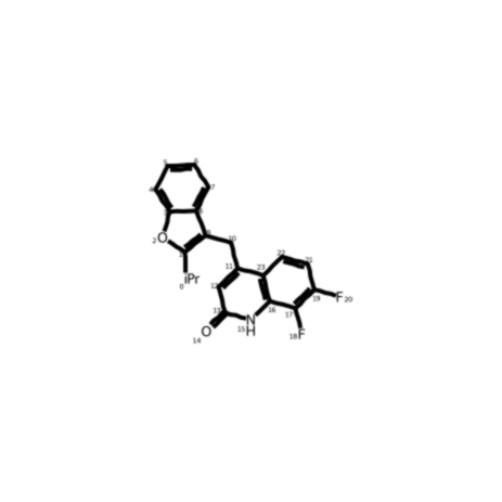 CC(C)c1oc2ccccc2c1Cc1cc(=O)[nH]c2c(F)c(F)ccc12